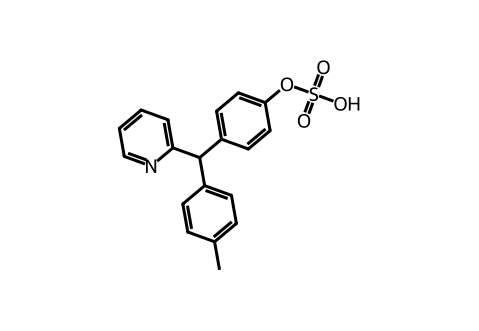 Cc1ccc(C(c2ccc(OS(=O)(=O)O)cc2)c2ccccn2)cc1